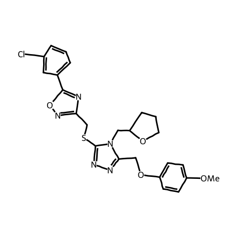 COc1ccc(OCc2nnc(SCc3noc(-c4cccc(Cl)c4)n3)n2CC2CCCO2)cc1